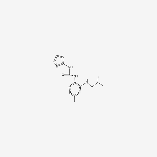 Cc1ccc(NC(=O)Nc2nccs2)c(NCC(C)C)c1